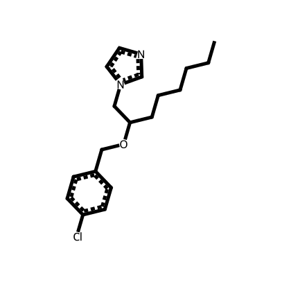 CCCCCCC(Cn1ccnc1)OCc1ccc(Cl)cc1